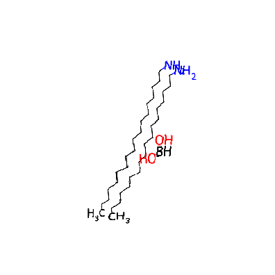 CCCCCCCCCCCCCCCCCCN.CCCCCCCCCCCCCCCCCCN.OBO